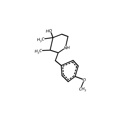 COc1ccc(CC2NCCC(C)(O)C2C)cc1